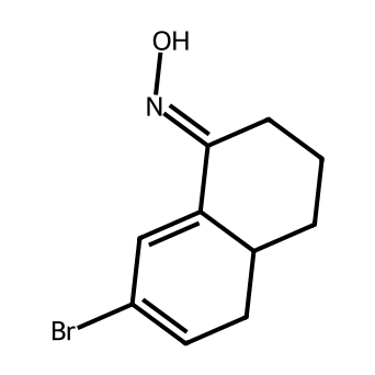 ON=C1CCCC2CC=C(Br)C=C12